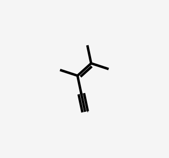 [C]#CC(C)=C(C)C